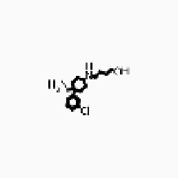 NCC1(c2cccc(Cl)c2)CCC(NCCCCO)CC1